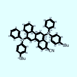 CC(C)(C)c1ccc(N(c2ccccc2)c2cc3c4ccc(C#N)cc4c(N(c4ccccc4)c4ccc(C(C)(C)C)cc4)cc3c3ccccc23)cc1